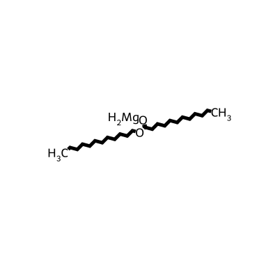 CCCCCCCCCCCCOC(=O)CCCCCCCCCCC.[MgH2]